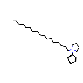 CCCCCCCCCCCCCCCCC[N+]1(c2ccccc2)CCCC1